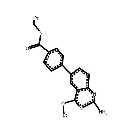 CCOc1nc(N)nc2ccc(-c3ccc(C(=O)NCC(C)C)cc3)cc12